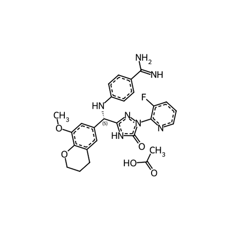 CC(=O)O.COc1cc([C@H](Nc2ccc(C(=N)N)cc2)c2nn(-c3ncccc3F)c(=O)[nH]2)cc2c1OCCC2